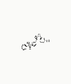 O=C(c1ccn(S(=O)(=O)c2ccccc2)c1)c1ccc(Cl)cc1Cl